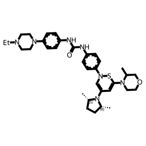 CCN1CCN(c2ccc(NC(=O)Nc3ccc(N4C=C(N5[C@H](C)CC[C@@H]5C)C=C(N5CCOCC5C)S4)cc3)cc2)CC1